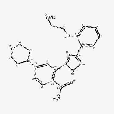 COCCOc1ccccc1-c1csc(-c2cc(N3CCOCC3)ccc2C(N)=O)n1